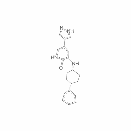 O=c1[nH]cc(-c2cn[nH]c2)cc1N[C@H]1CC[C@@H](c2ccccc2)CC1